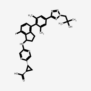 Cc1cc(-c2nnn(CC(C)(C)O)n2)cc(C)c1-c1ccc(F)c2c1CCC2Nc1cnc([C@@H]2C[C@H]2C(=O)O)cn1